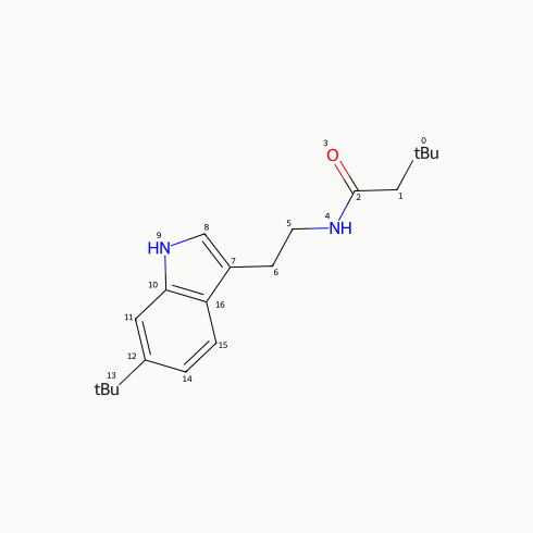 CC(C)(C)CC(=O)NCCc1c[nH]c2cc(C(C)(C)C)ccc12